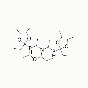 CCOC(CC)N(C(C)PC(CC)(OCC)OCC)C(C)PC(CC)(OCC)OCC